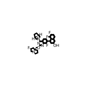 Oc1cc(-c2ccc3c(N4C[C@H]5CC[C@@H](C4)S5)nc(OC[C@@]45CCCN4C[C@H](F)C5)nc3c2F)c2c(F)c(F)ccc2c1